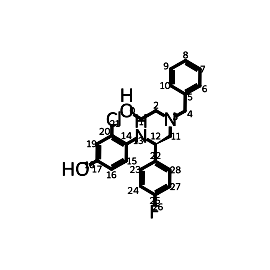 OCCN(Cc1ccccc1)C[C@H](Nc1ccc(O)cc1Cl)c1ccc(F)cc1